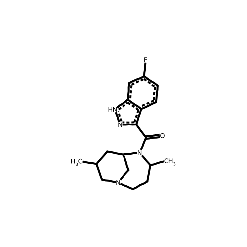 CC1CC2CN(CCC(C)N2C(=O)c2n[nH]c3cc(F)ccc23)C1